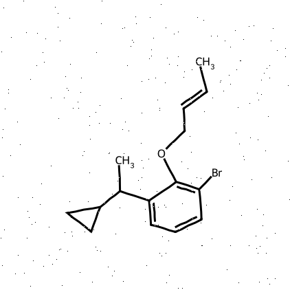 CC=CCOc1c(Br)cccc1C(C)C1CC1